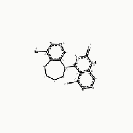 O=c1nc(N2CCCCc3c(Br)cncc32)c2c(F)cccc2[nH]1